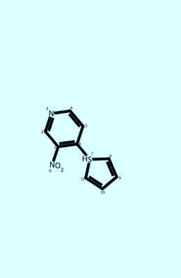 O=[N+]([O-])c1cnccc1[SH]1C=CC=C1